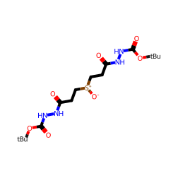 CC(C)(C)OC(=O)NNC(=O)CC[S+]([O-])CCC(=O)NNC(=O)OC(C)(C)C